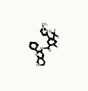 Cn1ccc(-c2cc(C(=O)Nc3cc4c(nc3-c3ccccc3)CNCC4)c(F)cc2C(F)(F)F)n1